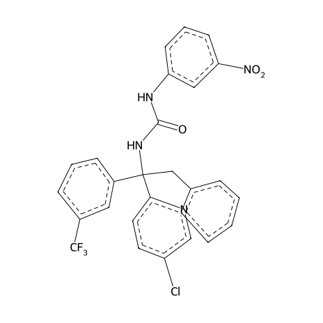 O=C(Nc1cccc([N+](=O)[O-])c1)NC(Cc1ccccc1)(c1cccc(C(F)(F)F)c1)c1ccc(Cl)cn1